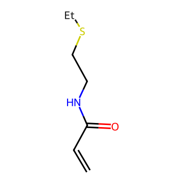 C=CC(=O)NCCSCC